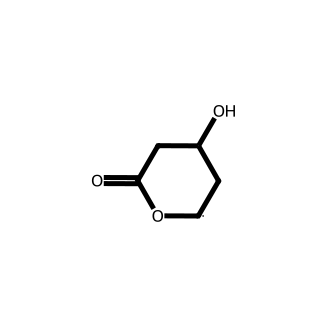 O=C1CC(O)C[CH]O1